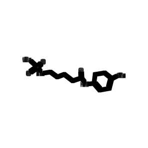 CC(C)(C)C1=CC=C(NC(=O)CCCCNS(=O)(=O)C(C)(C)C)CC1